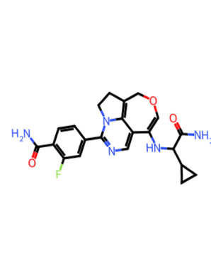 NC(=O)c1ccc(C2=NC=C3C(NC(C(N)=O)C4CC4)=COCC4=C3N2CC4)cc1F